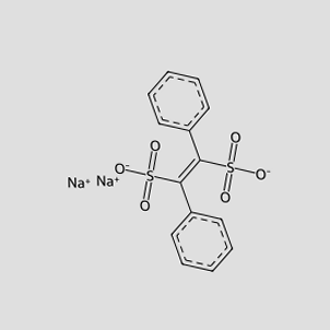 O=S(=O)([O-])C(=C(c1ccccc1)S(=O)(=O)[O-])c1ccccc1.[Na+].[Na+]